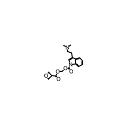 CN(C)CCc1cn(C(=O)OCOC(=O)C2COC2)c2ccccc12